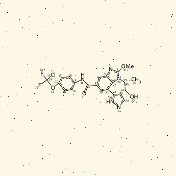 COc1nc2cc(C(=O)Nc3ccc(OC(F)(F)Cl)cc3)cc(-c3ccn[nH]3)c2n1[C@H](C)CO